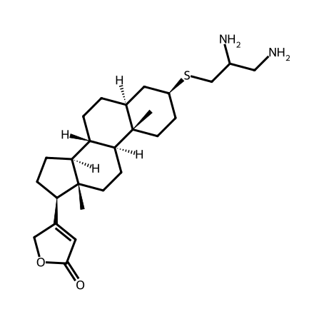 C[C@]12CC[C@H](SCC(N)CN)C[C@@H]1CC[C@@H]1[C@@H]2CC[C@]2(C)[C@@H](C3=CC(=O)OC3)CC[C@@H]12